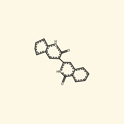 O=c1[nH]c2ccccc2cc1-c1cc2ccccc2c(=O)[nH]1